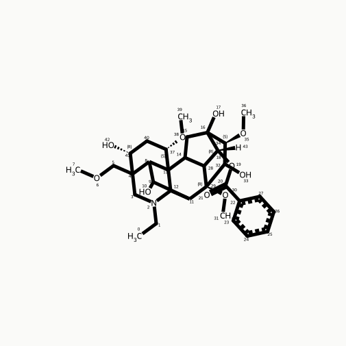 CCN1CC2(COC)C3C(O)C4C1C3(C1CC3(O)[C@H](OC(=O)c5ccccc5)C1[C@]4(OC)C(O)[C@@H]3OC)[C@@H](OC)C[C@H]2O